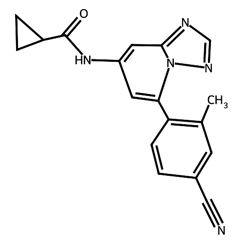 Cc1cc(C#N)ccc1-c1cc(NC(=O)C2CC2)cc2ncnn12